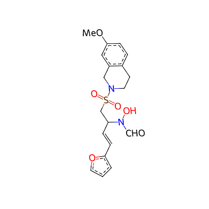 COc1ccc2c(c1)CN(S(=O)(=O)CC(C=Cc1ccco1)N(O)C=O)CC2